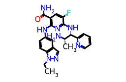 CCn1ncc2cc(Nc3nc(N[C@H](c4ccccn4)[C@H](C)N)c(F)cc3C(N)=O)ccc21